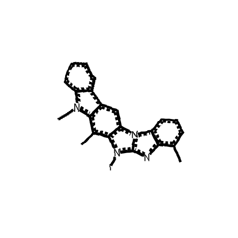 Cc1cccc2c1nc1n(I)c3c(C)c4c(cc3n21)c1ccccc1n4C